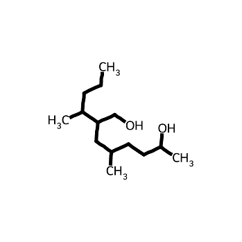 CCCC(C)C(CO)CC(C)CCC(C)O